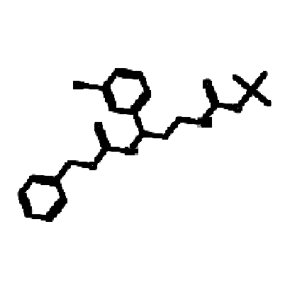 CC(C)(C)OC(=O)NCCC(NC(=O)OCc1ccccc1)c1cccc(Br)c1